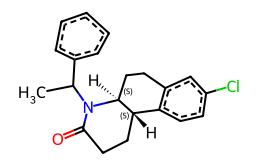 CC(c1ccccc1)N1C(=O)CC[C@H]2c3ccc(Cl)cc3CC[C@@H]21